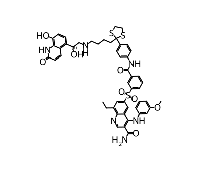 CCc1cc(S(=O)(=O)c2cccc(C(=O)Nc3ccc(C4(CCCCNC[C@H](O)c5ccc(O)c6[nH]c(=O)ccc56)SCCS4)cc3)c2)cc2c(Nc3cccc(OC)c3)c(C(N)=O)cnc12